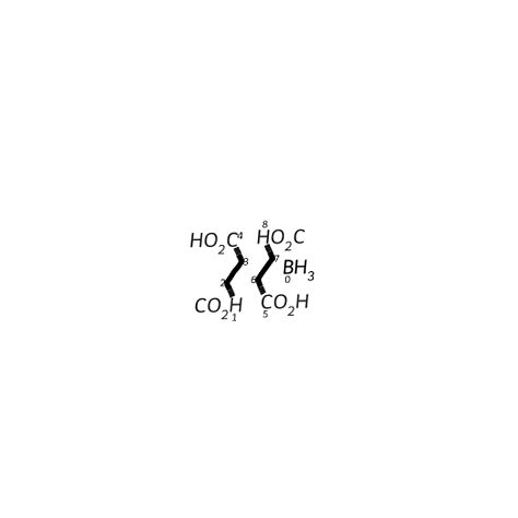 B.O=C(O)CCC(=O)O.O=C(O)CCC(=O)O